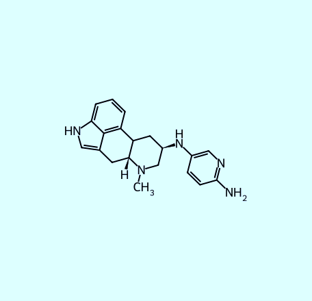 CN1C[C@H](Nc2ccc(N)nc2)CC2c3cccc4[nH]cc(c34)C[C@H]21